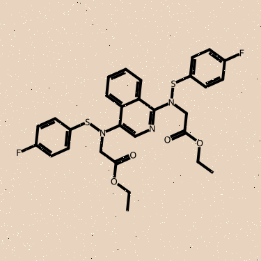 CCOC(=O)CN(Sc1ccc(F)cc1)c1cnc(N(CC(=O)OCC)Sc2ccc(F)cc2)c2ccccc12